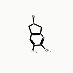 CCN1Cc2cc(C)c(C)nc2C1